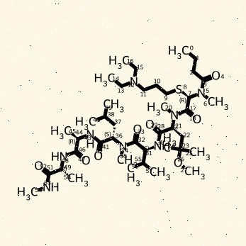 CCCC(=O)N(C)[C@H](SCCCN(CC)CC)C(=O)N(C)[C@@H](CC(C)(C)OC)C(=O)N[C@H](C(=O)N(C)[C@@H](CC(C)C)C(=O)N[C@H](C)C(=O)N[C@H](C)C(=O)NC)C(C)C